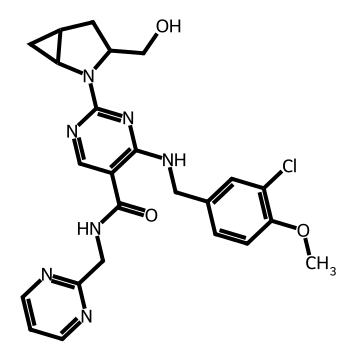 COc1ccc(CNc2nc(N3C(CO)CC4CC43)ncc2C(=O)NCc2ncccn2)cc1Cl